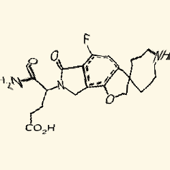 NC(=O)C(CCC(=O)O)N1Cc2c3c(cc(F)c2C1=O)C1(CCNCC1)CO3